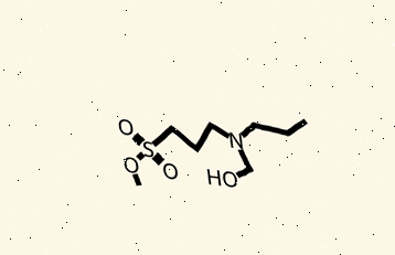 CCCN(CO)CCCS(=O)(=O)OC